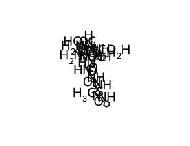 Cc1nc(NC(=O)c2ccccc2)sc1-c1cc(C(=O)NCC(=O)N[C@H](CCCN=C(N)N)C(=O)NCC(=O)N[C@H](CC(=O)O)C(=O)N[C@H](CC(=O)O)C(=O)N[C@H](CC(=O)O)C(N)=O)n[nH]1